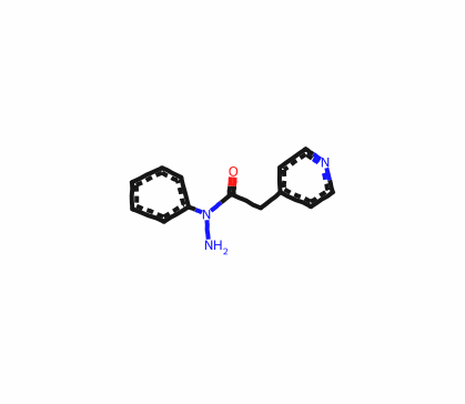 NN(C(=O)Cc1ccncc1)c1ccccc1